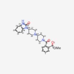 COC(=O)c1ccccc1C(=O)N1CCC(N2CCC(n3c(=O)[nH]c4ccccc43)CC2)CC1